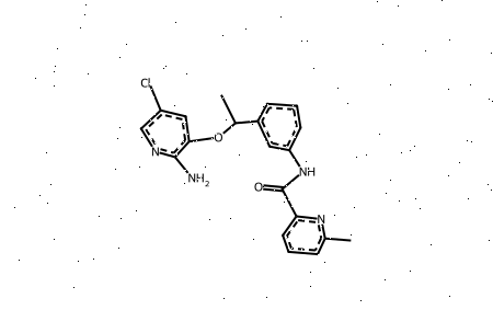 Cc1cccc(C(=O)Nc2cccc(C(C)Oc3cc(Cl)cnc3N)c2)n1